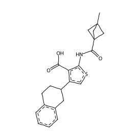 CC12CC(C(=O)Nc3scc(C4CCc5ccccc5C4)c3C(=O)O)(C1)C2